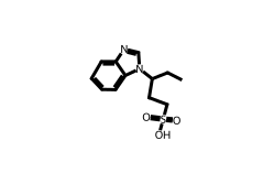 CCC(CCS(=O)(=O)O)n1cnc2ccccc21